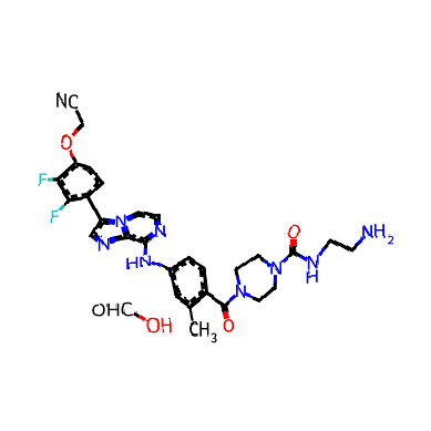 Cc1cc(Nc2nccn3c(-c4ccc(OCC#N)c(F)c4F)cnc23)ccc1C(=O)N1CCN(C(=O)NCCN)CC1.O=CO